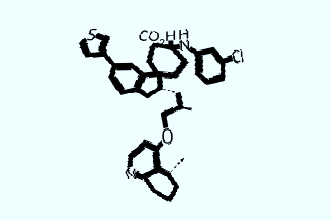 C[C@@H](COc1ccnc2c1[C@H](C)CCC2)C[C@@H]1Cc2ccc(-c3ccsc3)cc2C12CCC(Nc1cccc(Cl)c1)(C(=O)O)CC2